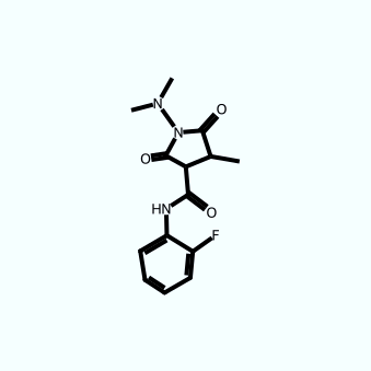 CC1C(=O)N(N(C)C)C(=O)C1C(=O)Nc1ccccc1F